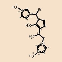 CCC(C1C=CC(C(C)C[n+]2ccn(C)c2)=C1C)[n+]1ccn(C)c1